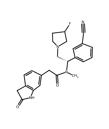 CN(C(=O)Cc1ccc2c(c1)NC(=O)C2)[C@H](CN1CCC(F)C1)c1cccc(C#N)c1